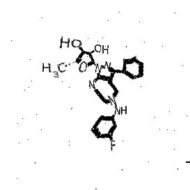 C[C@H]1O[C@@H](n2nc(-c3ccccc3)c3c2N=CN(Nc2cccc(F)c2)C3)[C@H](O)[C@@H]1O